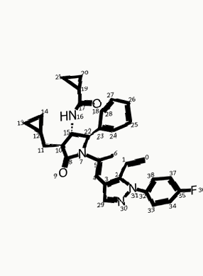 C=Cc1c(/C=C(\C)N2C(=O)[C@@H](CC3CC3)[C@H](NC(=O)C3CC3)[C@H]2c2ccccc2)cnn1-c1ccc(F)cc1